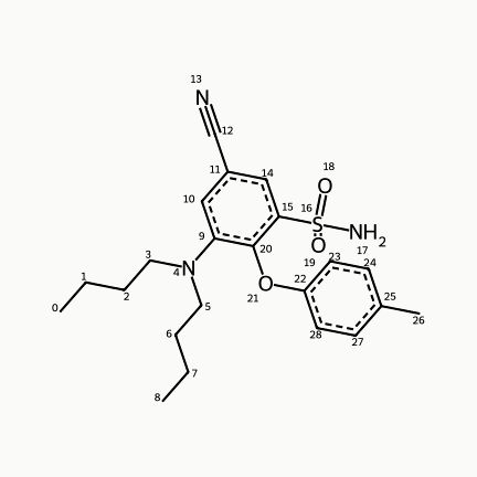 CCCCN(CCCC)c1cc(C#N)cc(S(N)(=O)=O)c1Oc1ccc(C)cc1